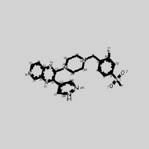 CS(=O)(=O)c1ccc(CN2CCN(c3nc4ccncc4nc3-c3cn[nH]c3)CC2)c(F)c1